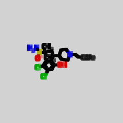 COCCN1CCC(C(CC(C)(C)[S+](N)[O-])c2cc(Cl)c(Cl)cc2O)CC1